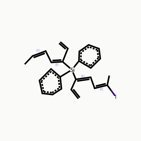 C=C/C(=C\C=C/C)[Si](/C(C=C)=C/C=C(\C)I)(c1ccccc1)c1ccccc1